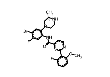 COc1cccc(F)c1-c1nccc(C(=O)Nc2cc(F)c(Br)cc2N2CCN[C@@H](C)C2)n1